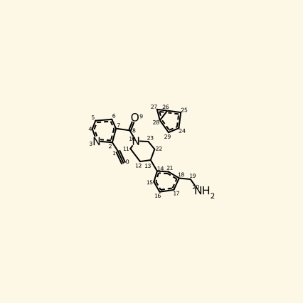 C#Cc1ncccc1C(=O)N1CCC(c2cccc(CN)c2)CC1.c1cc2cc-2c1